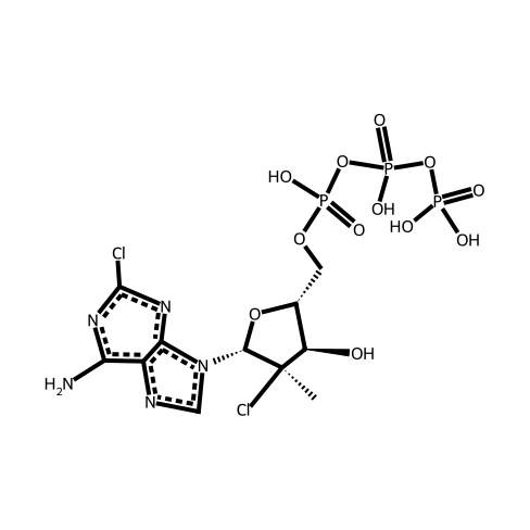 C[C@@]1(Cl)[C@H](O)[C@@H](COP(=O)(O)OP(=O)(O)OP(=O)(O)O)O[C@H]1n1cnc2c(N)nc(Cl)nc21